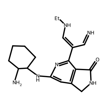 CCN/C=C(\C=N)c1nc(NC2CCCCC2N)cc2c1C(=O)NC2